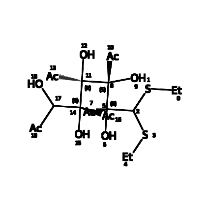 CCSC(SCC)[C@@](O)(C(C)=O)[C@](O)(C(C)=O)[C@@](O)(C(C)=O)[C@@](O)(C(C)=O)C(O)C(C)=O